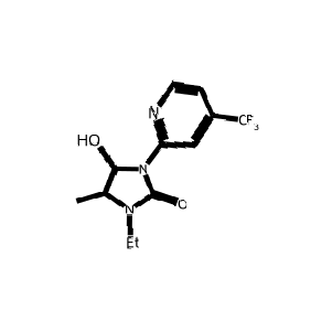 CCN1C(=O)N(c2cc(C(F)(F)F)ccn2)C(O)C1C